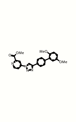 COC(=O)c1cc(-n2cc(-c3ccc(-c4cc(OC)ccc4OC)cc3)nn2)ccn1